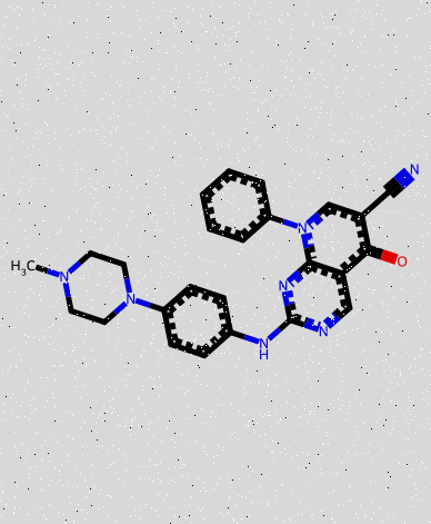 CN1CCN(c2ccc(Nc3ncc4c(=O)c(C#N)cn(-c5ccccc5)c4n3)cc2)CC1